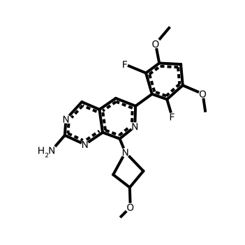 COc1cc(OC)c(F)c(-c2cc3cnc(N)nc3c(N3CC(OC)C3)n2)c1F